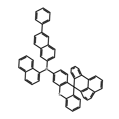 c1ccc(-c2ccc3cc(N(c4ccc5c(c4)Sc4ccccc4C54c5ccccc5-c5cccc6cccc4c56)c4cccc5ccccc45)ccc3c2)cc1